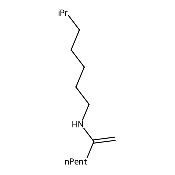 C=C(CCCCC)NCCCCCC(C)C